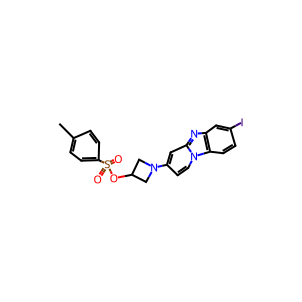 Cc1ccc(S(=O)(=O)OC2CN(c3ccn4c(c3)nc3cc(I)ccc34)C2)cc1